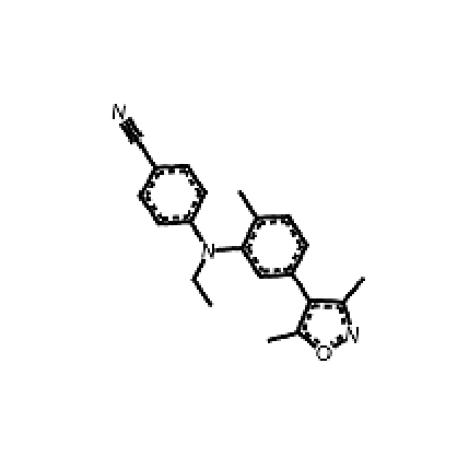 CCN(c1ccc(C#N)cc1)c1cc(-c2c(C)noc2C)ccc1C